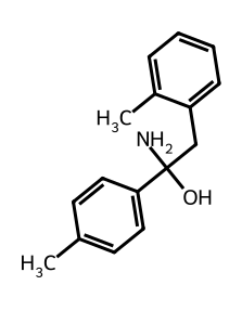 Cc1ccc(C(N)(O)Cc2ccccc2C)cc1